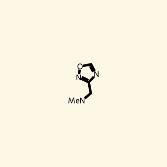 CNCc1ncon1